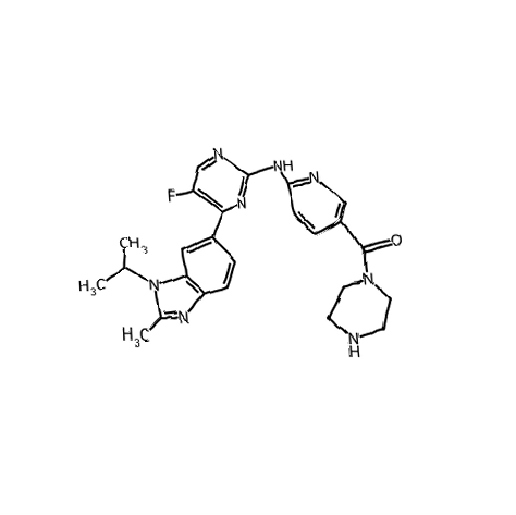 Cc1nc2ccc(-c3nc(Nc4ccc(C(=O)N5CCNCC5)cn4)ncc3F)cc2n1C(C)C